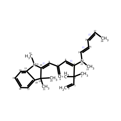 C=CC(C)(C)/C(=C\C(=O)/C=C1/N(C)c2ccccc2C1(C)C)N(C)/C=C/C=C\C